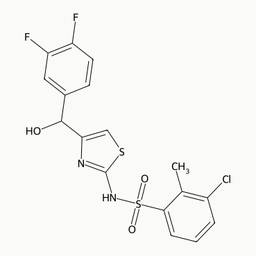 Cc1c(Cl)cccc1S(=O)(=O)Nc1nc(C(O)c2ccc(F)c(F)c2)cs1